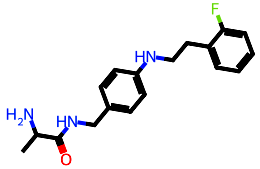 CC(N)C(=O)NCc1ccc(NCCc2ccccc2F)cc1